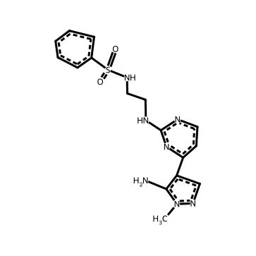 Cn1ncc(-c2ccnc(NCCNS(=O)(=O)c3ccccc3)n2)c1N